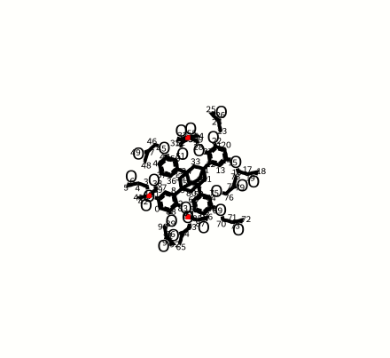 c1c(OCC2CO2)cc(C23CC4(c5cc(OCC6CO6)cc(OCC6CO6)c5OCC5CO5)CC(c5cc(OCC6CO6)cc(OCC6CO6)c5OCC5CO5)(C2)CC(c2cc(OCC5CO5)cc(OCC5CO5)c2OCC2CO2)(C3)C4)c(OCC2CO2)c1OCC1CO1